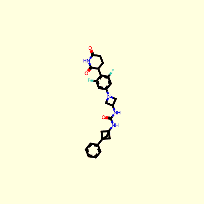 O=C1CCC(c2c(F)cc(N3CC(NC(=O)NC45CC(c6ccccc6)(C4)C5)C3)cc2F)C(=O)N1